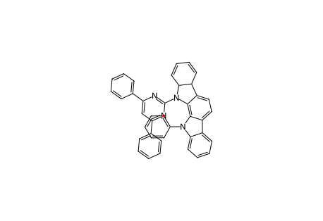 C1=CC2c3ccc4c5ccccc5n(-c5ccccc5)c4c3N(c3nc(-c4ccccc4)cc(-c4ccccc4)n3)C2C=C1